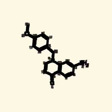 Bc1ccc2c(=O)ncn(Cc3ccc(OC)cc3)c2c1